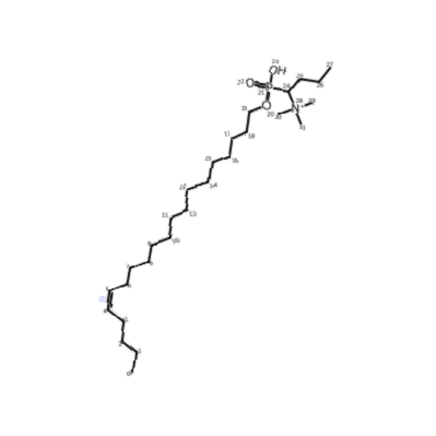 CCCC/C=C\CCCCCCCCCCCCCCOP(=O)(O)C(CCC)[N+](C)(C)C